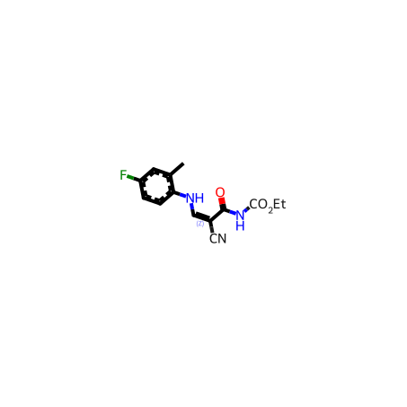 CCOC(=O)NC(=O)/C(C#N)=C\Nc1ccc(F)cc1C